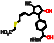 CCCCCCC(O)c1ccc(C2C(C/C=C\CSCC(=O)O)[C@H](C#N)C[C@H]2O)cc1